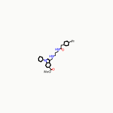 COC(=O)c1ccc2c(c1)c(CNCCCNC(=O)Cc1ccc(C(C)C)cc1)cn2-c1ccccc1